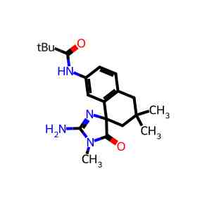 CN1C(=O)C2(CC(C)(C)Cc3ccc(NC(=O)C(C)(C)C)cc32)N=C1N